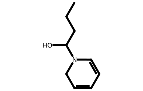 CCCC(O)N1C=CC=CC1